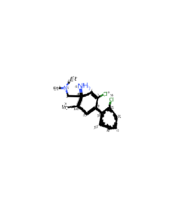 CCN(CC)CC1(N)C=C(Cl)C(c2ccccc2Cl)=CC1C#N